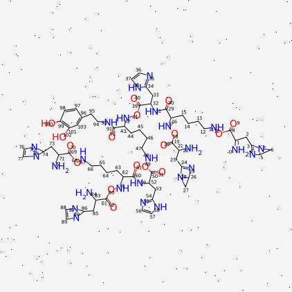 NC(CC1=NC2CN12)C(=O)ONCCCCC(NOC(=O)C(N)CC1=NC2CN12)C(=O)NC(Cc1ncc[nH]1)C(=O)ONC(CCCCNOC(=O)C(Cc1ncc[nH]1)NC(=O)C(CCCCNOC(=O)C(N)CC1n2ccn21)NOC(=O)C(N)CC1n2ccn21)C(=O)NCCc1ccc(O)c(O)c1